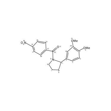 COc1ccc(C2SCCN2C(=O)c2ccc([N+](=O)[O-])cc2)cc1OC